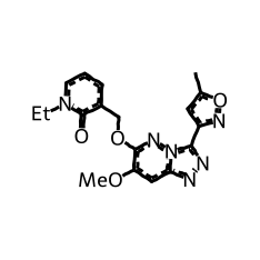 CCn1cccc(COc2nn3c(-c4cc(C)on4)nnc3cc2OC)c1=O